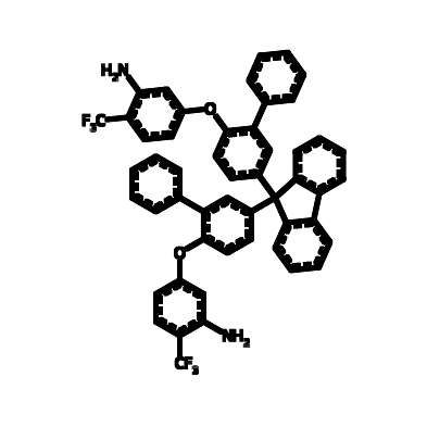 Nc1cc(Oc2ccc(C3(c4ccc(Oc5ccc(C(F)(F)F)c(N)c5)c(-c5ccccc5)c4)c4ccccc4-c4ccccc43)cc2-c2ccccc2)ccc1C(F)(F)F